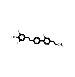 CCCc1ccc(-c2ccc(CCc3cc(F)c(O)c(F)c3)cc2)c(F)c1